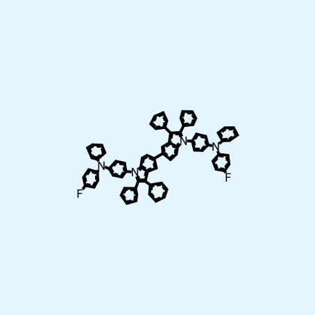 Fc1ccc(N(c2ccccc2)c2ccc(-n3c(-c4ccccc4)c(-c4ccccc4)c4cc(-c5ccc6c(c5)c(-c5ccccc5)c(-c5ccccc5)n6-c5ccc(N(c6ccccc6)c6ccc(F)cc6)cc5)ccc43)cc2)cc1